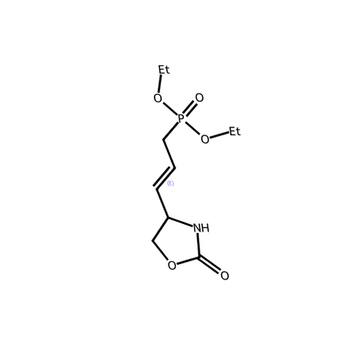 CCOP(=O)(C/C=C/C1COC(=O)N1)OCC